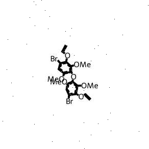 C=COc1c(Br)cc(OC)c(Oc2c(OC)cc(Br)c(OC=C)c2OC)c1OC